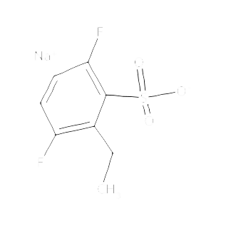 CCc1c(F)ccc(F)c1S(=O)(=O)[O-].[Na+]